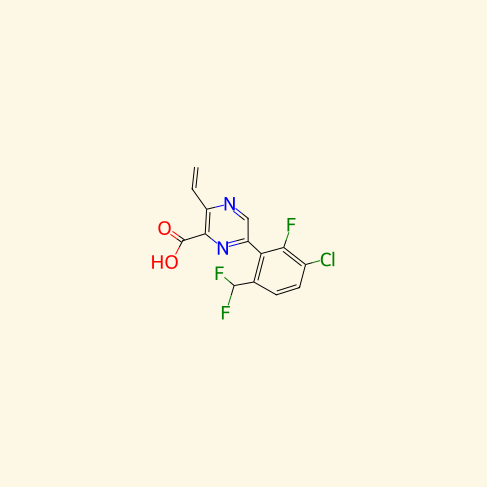 C=Cc1ncc(-c2c(C(F)F)ccc(Cl)c2F)nc1C(=O)O